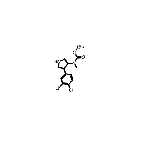 CN(C(=O)OC(C)(C)C)C1CNCC1c1ccc(Cl)c(Cl)c1